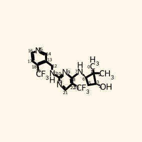 CC1(C)[C@@H](O)C[C@H]1Nc1nc(NCc2cnccc2C(F)(F)F)ncc1C(F)(F)F